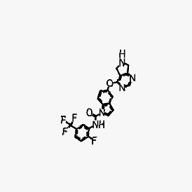 O=C(Nc1cc(C(F)(F)F)ccc1F)n1ccc2cc(Oc3ncnc4c3CNC4)ccc21